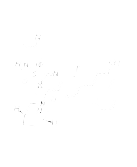 CN1CCC[C@H]1COc1nc(N2C[C@H]3CC[C@@H](C2)N3C(=O)CCS(N)(=O)=O)c2ccc(-c3cc(O)cc4ccccc34)c(F)c2n1